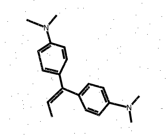 CC=C(c1ccc(N(C)C)cc1)c1ccc(N(C)C)cc1